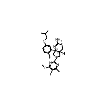 COc1nc(N2C[C@H]3CSC(N)=N[C@@]3(c3cc(OCC(C)C)ccc3F)C2)nc(C)c1F